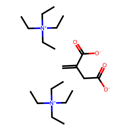 C=C(CC(=O)[O-])C(=O)[O-].CC[N+](CC)(CC)CC.CC[N+](CC)(CC)CC